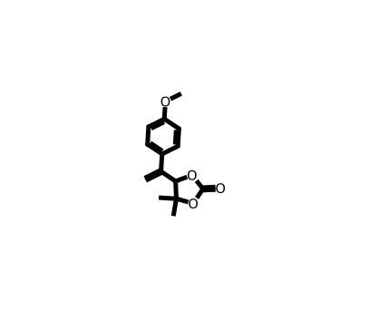 C=C(c1ccc(OC)cc1)C1OC(=O)OC1(C)C